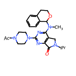 CC(=O)N1CCN(c2nc3c(c(N(C)C4OCCc5ccccc54)n2)CN(C(C)C)C3=O)CC1